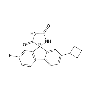 O=C1NC(=O)[C@]2(N1)c1cc(F)ccc1-c1ccc(C3CCC3)cc12